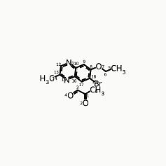 CC(=O)C=O.CCOc1cc2ncc(C)nc2cc1Br